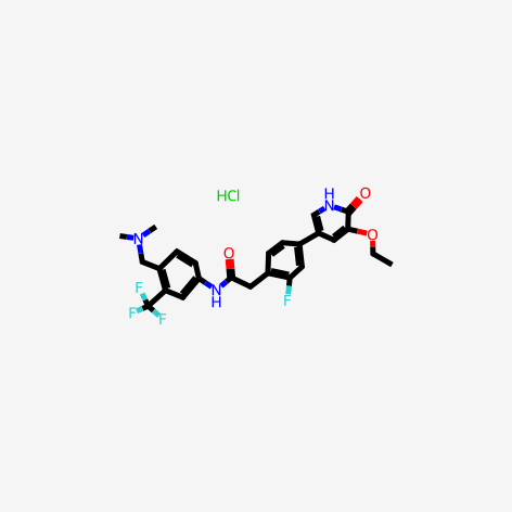 CCOc1cc(-c2ccc(CC(=O)Nc3ccc(CN(C)C)c(C(F)(F)F)c3)c(F)c2)c[nH]c1=O.Cl